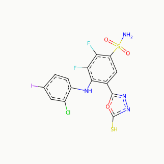 NS(=O)(=O)c1cc(-c2nnc(S)o2)c(Nc2ccc(I)cc2Cl)c(F)c1F